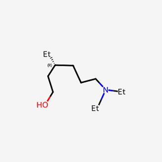 CC[C@@H](CCO)CCCN(CC)CC